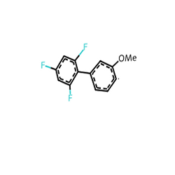 COc1[c]ccc(-c2c(F)cc(F)cc2F)c1